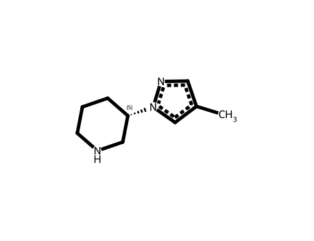 Cc1cnn([C@H]2CCCNC2)c1